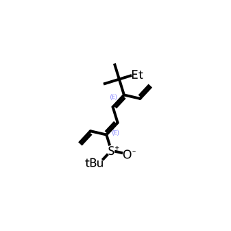 C=C/C(=C\C=C(/C=C)C(C)(C)CC)[S+]([O-])C(C)(C)C